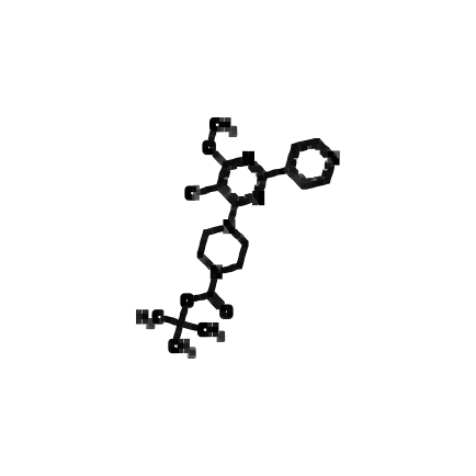 COc1nc(-c2ccncc2)nc(N2CCN(C(=O)OC(C)(C)C)CC2)c1Cl